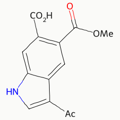 COC(=O)c1cc2c(C(C)=O)c[nH]c2cc1C(=O)O